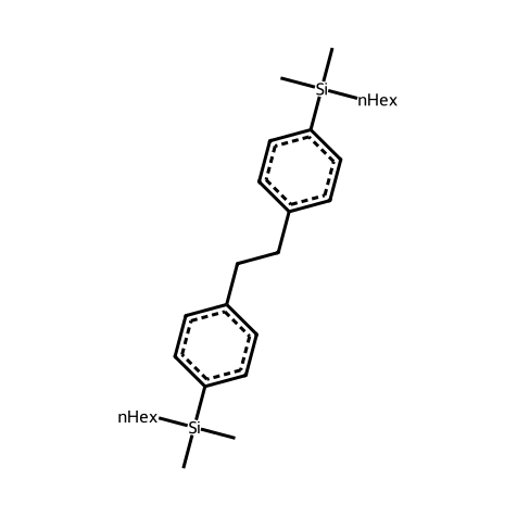 CCCCCC[Si](C)(C)c1ccc(CCc2ccc([Si](C)(C)CCCCCC)cc2)cc1